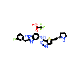 Fc1cccc(Cc2nc3cc(Nc4ncnc5cc(C#C[C@H]6CCCN6)sc45)ccc3[nH]2)c1.O=C(O)C(F)(F)F